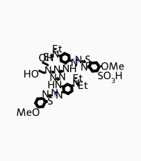 CCN(CC)c1ccc(/N=N/c2nc3ccc(OC)cc3s2)c(Nc2nc(Nc3cc(N(CC)CC)ccc3/N=N/c3nc4cc(S(=O)(=O)O)c(OC)cc4s3)nc(N(CCO)CCO)n2)c1